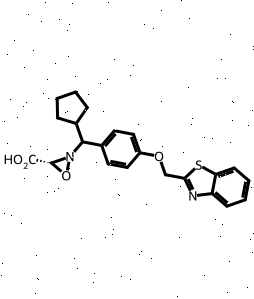 O=C(O)[C@H]1ON1C(c1ccc(OCc2nc3ccccc3s2)cc1)C1CCCC1